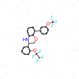 FC(F)C(F)(F)Oc1ccccc1C1COc2c(cccc2-c2cccc(OC(F)(F)F)c2)N1